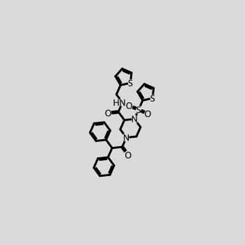 O=C(NCc1cccs1)C1CN(C(=O)C(c2ccccc2)c2ccccc2)CCN1S(=O)(=O)c1cccs1